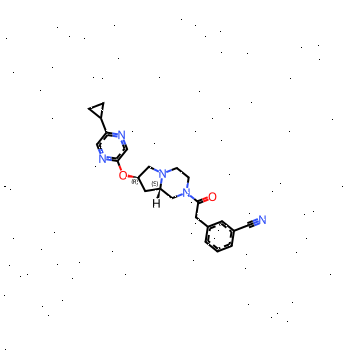 N#Cc1cccc(CC(=O)N2CCN3C[C@H](Oc4cnc(C5CC5)cn4)C[C@H]3C2)c1